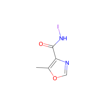 Cc1ocnc1C(=O)NI